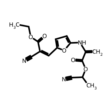 C=C(Nc1ccc(C=C(C#N)C(=O)OCC)o1)C(=O)OC(C)C#N